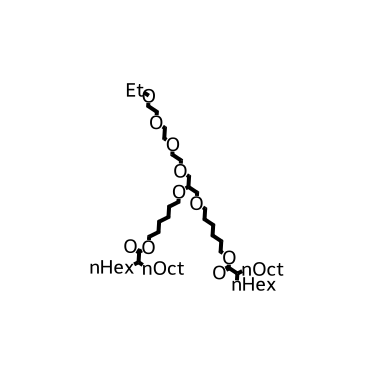 [CH2]COCCOCCOCCOCC(COCCCCCCOC(=O)C(CCCCCC)CCCCCCCC)OCCCCCCOC(=O)C(CCCCCC)CCCCCCCC